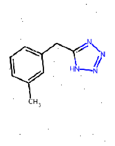 Cc1cccc(Cc2nnn[nH]2)c1